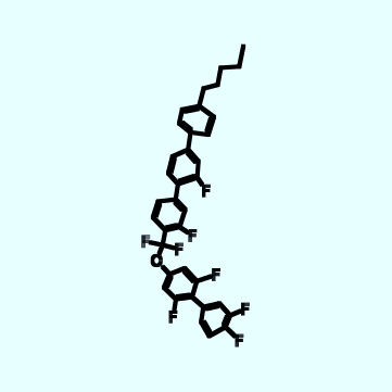 CCCCCc1ccc(-c2ccc(-c3ccc(C(F)(F)Oc4cc(F)c(-c5ccc(F)c(F)c5)c(F)c4)c(F)c3)c(F)c2)cc1